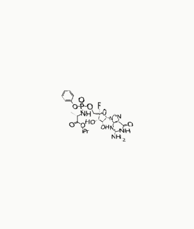 CC(C)OC(=O)[C@H](C)N[P@@](=O)(OC[C@@]1(F)O[C@@H](n2cnc3c(=O)[nH]c(N)nc32)[C@H](O)[C@@H]1O)Oc1ccccc1